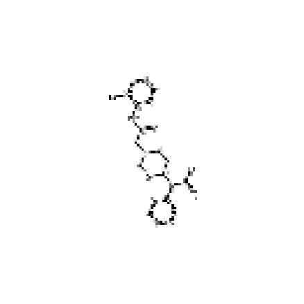 CCC(=O)N(c1ccccc1)C1CCN(CC(=O)Nc2ccccc2O)CC1